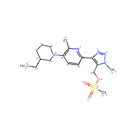 CCc1nc(-c2nnn(C)c2COS(C)(=O)=O)ccc1N1CCCC(CC(=O)O)C1